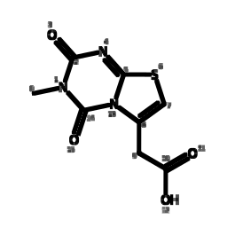 Cn1c(=O)nc2scc(CC(=O)O)n2c1=O